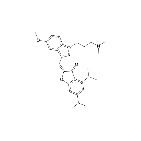 COc1ccc2c(c1)c(C=C1Oc3cc(C(C)C)cc(C(C)C)c3C1=O)cn2CCCN(C)C